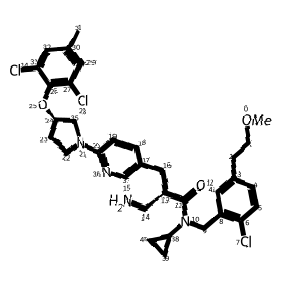 COCCc1ccc(Cl)c(CN(C(=O)[C@@H](CN)Cc2ccc(N3CC[C@@H](Oc4c(Cl)cc(C)cc4Cl)C3)nc2)C2CC2)c1